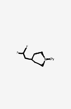 CC(C)N1CCC(CC(F)F)CC1